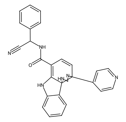 N#CC(NC(=O)C1=C2Nc3ccccc3C23NCN(c2ccncc2)C3C=C1)c1ccccc1